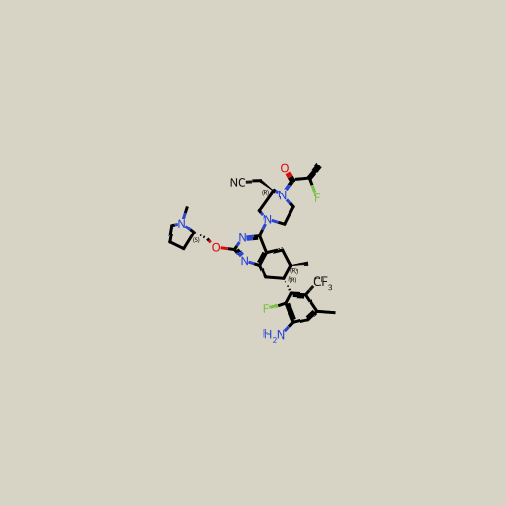 C=C(F)C(=O)N1CCN(c2nc(OC[C@@H]3CCCN3C)nc3c2C[C@@H](C)[C@H](c2c(F)c(N)cc(C)c2C(F)(F)F)C3)C[C@H]1CC#N